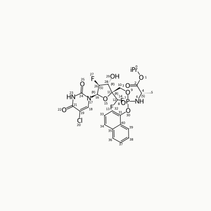 CC(C)OC(=O)[C@H](C)NP(=O)(OC[C@@]1(C(F)F)O[C@@H](n2cc(Cl)c(=O)[nH]c2=O)[C@@H](F)[C@@H]1O)Oc1cccc2ccccc12